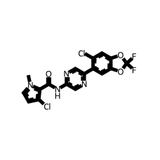 Cn1ccc(Cl)c1C(=O)Nc1cnc(-c2cc3c(cc2Cl)OC(F)(F)O3)cn1